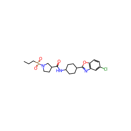 CCCS(=O)(=O)N1CCC(C(=O)NC2CCC(c3nc4cc(Cl)ccc4o3)CC2)C1